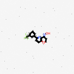 O/N=C1\CCOc2ccc(-c3cccc(C(F)(F)F)c3)nc21